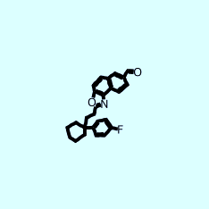 O=Cc1ccc2c(ccc3oc(CCC4(c5ccc(F)cc5)CCCCC4)nc32)c1